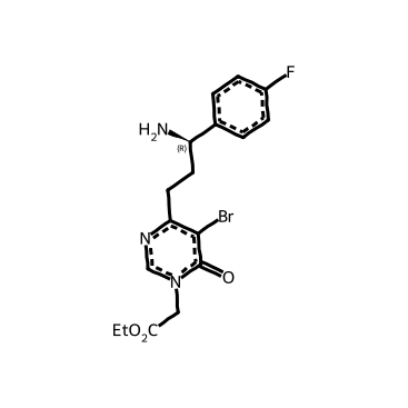 CCOC(=O)Cn1cnc(CC[C@@H](N)c2ccc(F)cc2)c(Br)c1=O